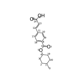 CC1CCC(OC(=O)c2ccc(/C=C/C(=O)O)cc2)CC1